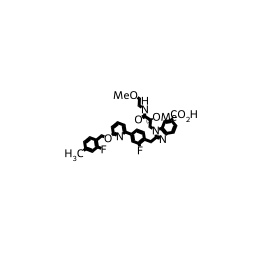 COCCNC(=O)[C@H](Cn1c(Cc2ccc(-c3cccc(OCc4ccc(C)cc4F)n3)cc2F)nc2ccc(C(=O)O)cc21)OC